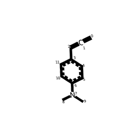 C=C=Cc1ccc(N(C)C)cc1